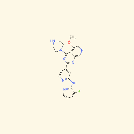 COc1cncc2nc(-c3ccnc(Nc4ncccc4F)c3)nc(N3CCNCC3)c12